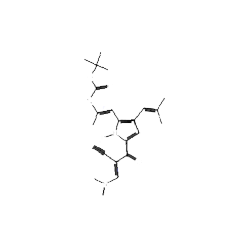 C#C/C(=C\N(C)C)C(=O)c1cc(C=C(C)C)c(/C=C(\C)NC(=O)OC(C)(C)C)n1P